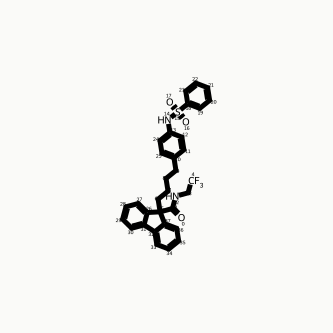 O=C(NCC(F)(F)F)C1(CCCCc2ccc(NS(=O)(=O)c3ccccc3)cc2)c2ccccc2-c2ccccc21